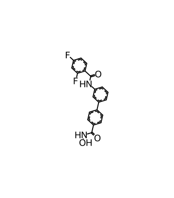 O=C(NO)c1ccc(-c2cccc(NC(=O)c3ccc(F)cc3F)c2)cc1